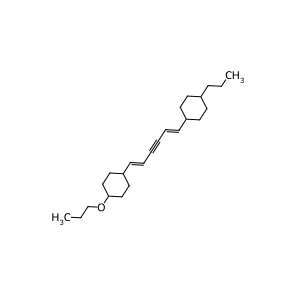 CCCOC1CCC(C=CC#CC=CC2CCC(CCC)CC2)CC1